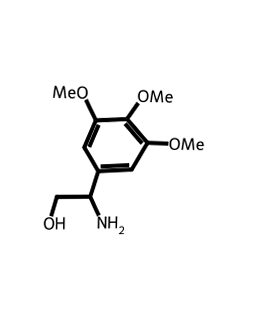 COc1cc(C(N)CO)cc(OC)c1OC